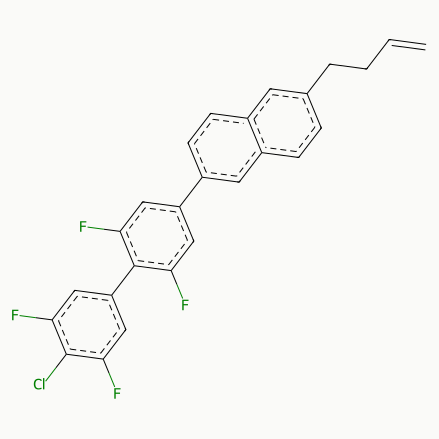 C=CCCc1ccc2cc(-c3cc(F)c(-c4cc(F)c(Cl)c(F)c4)c(F)c3)ccc2c1